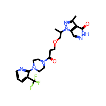 Cc1nn(C(C)COCCC(=O)N2CCN(c3ncccc3C(F)(F)F)CC2)c2cn[nH]c(=O)c12